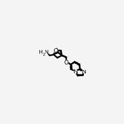 NCC12CC(COc3ccc4nccn4c3)(CO1)C2